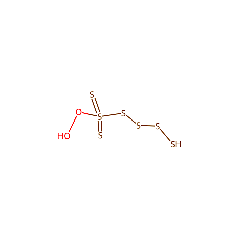 OOS(=S)(=S)SSSS